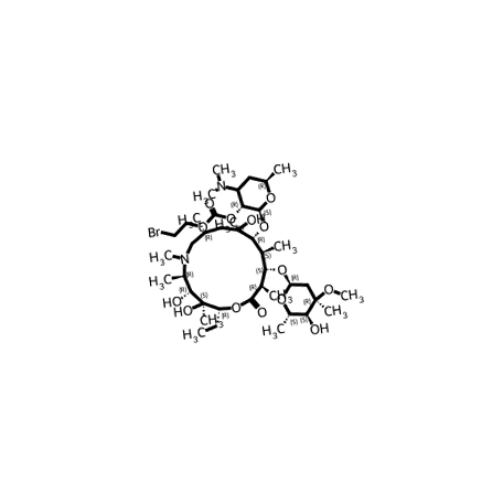 CC[C@H]1OC(=O)[C@H](C)[C@@H](O[C@H]2C[C@@](C)(OC)[C@@H](O)[C@H](C)O2)[C@H](C)[C@@H](O[C@@H]2O[C@H](C)CC(N(C)C)[C@H]2OC(=O)OCCBr)[C@](C)(O)C[C@@H](C)CN(C)[C@H](C)[C@@H](O)[C@]1(C)O